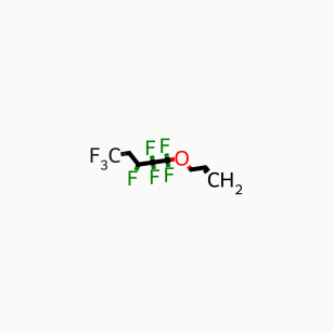 C=CCOC(F)(F)C(F)(F)C(F)CC(F)(F)F